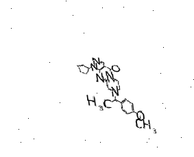 COc1ccc(C(C)N2CCn3c(nc4c(cnn4C4CCCC4)c3=O)C2)cc1